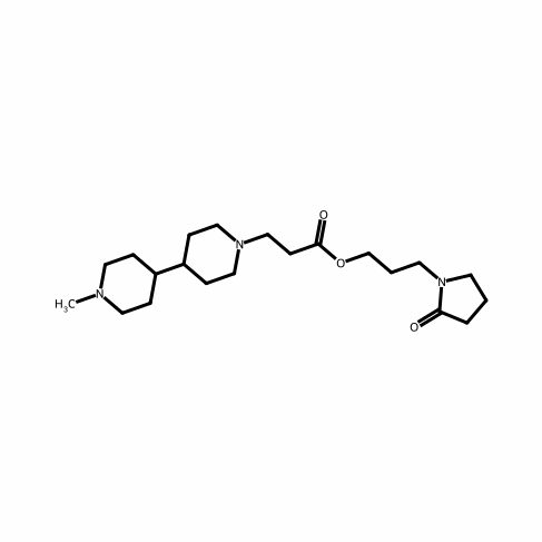 CN1CCC(C2CCN(CCC(=O)OCCCN3CCCC3=O)CC2)CC1